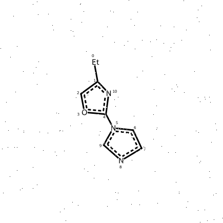 CCc1coc(-n2ccnc2)n1